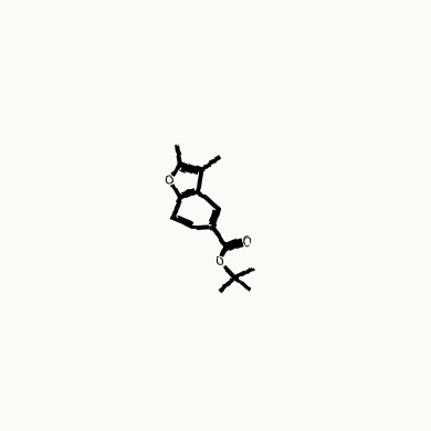 Cc1oc2ccc(C(=O)OC(C)(C)C)cc2c1C